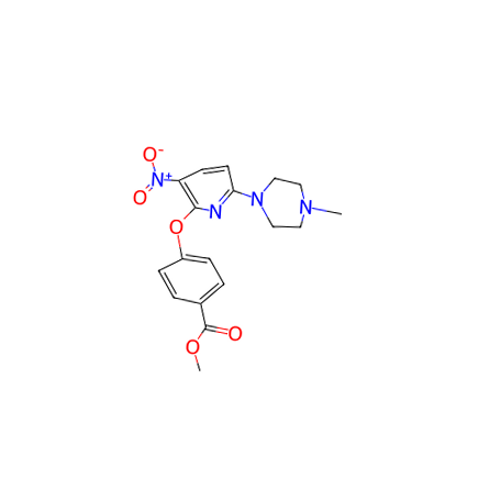 COC(=O)c1ccc(Oc2nc(N3CCN(C)CC3)ccc2[N+](=O)[O-])cc1